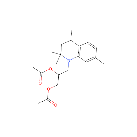 CC(=O)OCC(CN1c2cc(C)ccc2C(C)CC1(C)C)OC(C)=O